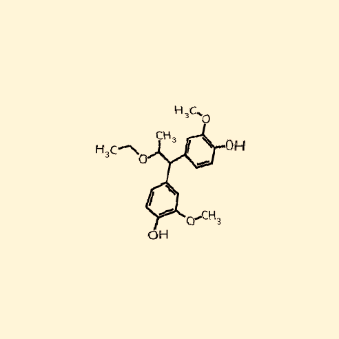 CCOC(C)C(c1ccc(O)c(OC)c1)c1ccc(O)c(OC)c1